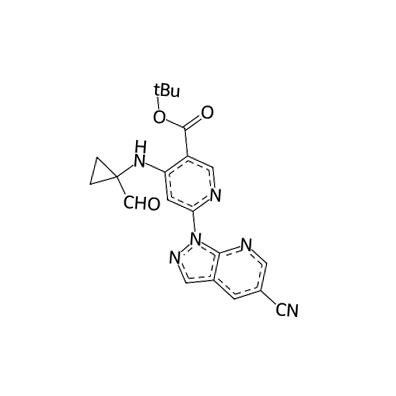 CC(C)(C)OC(=O)c1cnc(-n2ncc3cc(C#N)cnc32)cc1NC1(C=O)CC1